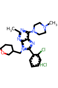 Cc1nc(N2CCN(C)CC2)c2nc(-c3ccccc3Cl)n(CC3CCCOC3)c2n1.Cl